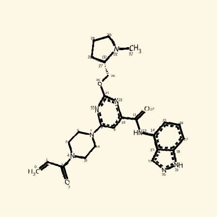 C=CC(=O)N1CCN(c2cc(C(=O)Nc3cccc4[nH]ncc34)nc(OC[C@@H]3CCCN3C)n2)CC1